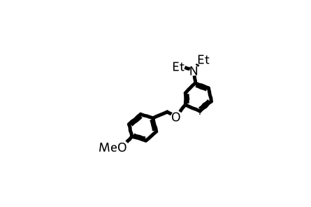 CCN(CC)c1cc[c]c(OCc2ccc(OC)cc2)c1